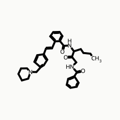 CCCCC(NC(=O)c1ccccc1C=Cc1ccc(CN2CCCCC2)cc1)C(=O)CNC(=O)c1ccccc1